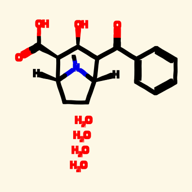 CN1[C@@H]2CC[C@H]1C(C(=O)c1ccccc1)[C@H](O)[C@@H]2C(=O)O.O.O.O.O